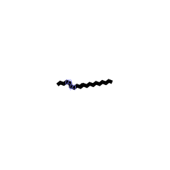 CCC/C=C\C=C/CC=CCCCCCCCCC